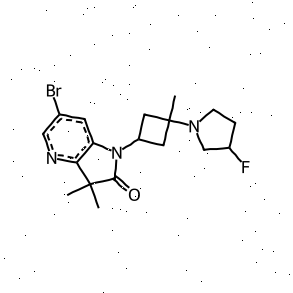 CC1(C)C(=O)N(C2CC(C)(N3CCC(F)C3)C2)c2cc(Br)cnc21